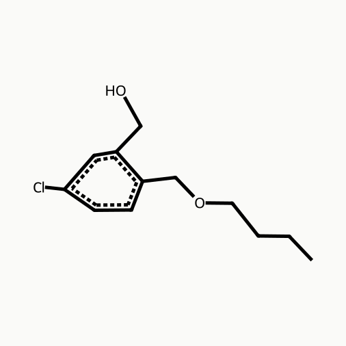 CCCCOCc1ccc(Cl)cc1CO